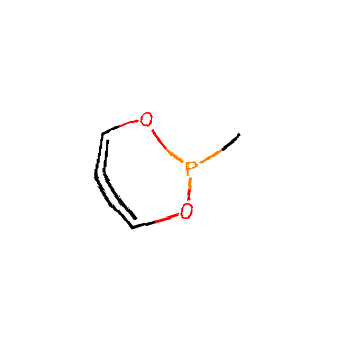 CP1OC=C=CO1